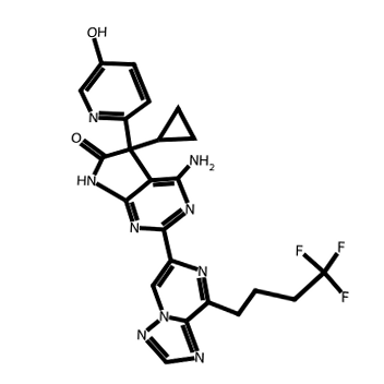 Nc1nc(-c2cn3ncnc3c(CCCC(F)(F)F)n2)nc2c1C(c1ccc(O)cn1)(C1CC1)C(=O)N2